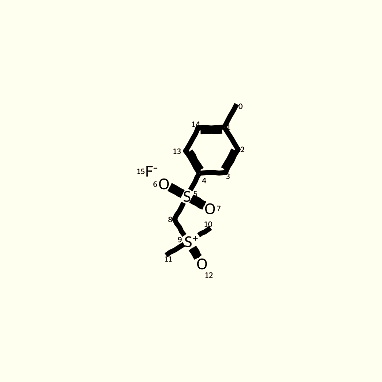 Cc1ccc(S(=O)(=O)C[S+](C)(C)=O)cc1.[F-]